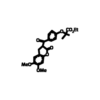 CCOC(=O)C(C)(C)Oc1ccc(C(=O)C2Cc3cc(OC)c(OC)cc3OC2=O)cc1